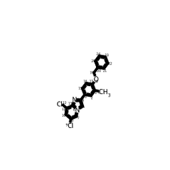 Cc1cc(-c2cn3cc(Cl)cc(Cl)c3n2)ccc1OCc1ccccc1